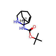 CC(C)(C)OC(=O)N[C@H]1CC2CC=C1CNC2